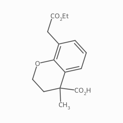 CCOC(=O)Cc1cccc2c1OCCC2(C)C(=O)O